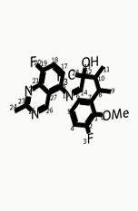 COc1c(F)cccc1C(C)C(C)C(O)(/C=N\c1ccc(F)c2nc(C)ncc12)C(F)(F)F